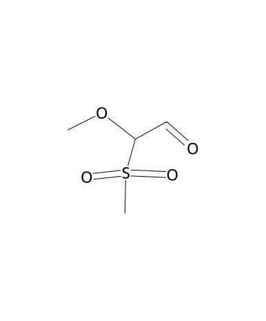 COC(C=O)S(C)(=O)=O